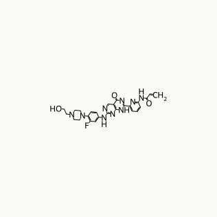 C=CC(=O)Nc1cccc(-c2nc(=O)c3cnc(Nc4ccc(N5CCN(CCO)CC5)c(F)c4)nc3[nH]2)n1